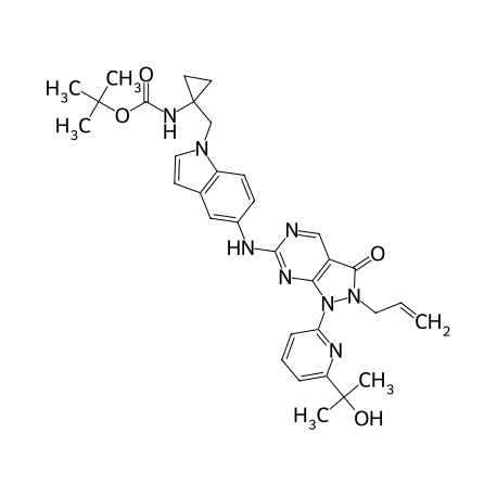 C=CCn1c(=O)c2cnc(Nc3ccc4c(ccn4CC4(NC(=O)OC(C)(C)C)CC4)c3)nc2n1-c1cccc(C(C)(C)O)n1